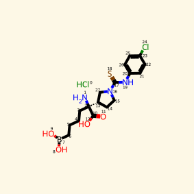 Cl.NC(CCCCB(O)O)(C(=O)O)[C@H]1CCN(C(=S)Nc2ccc(Cl)cc2)C1